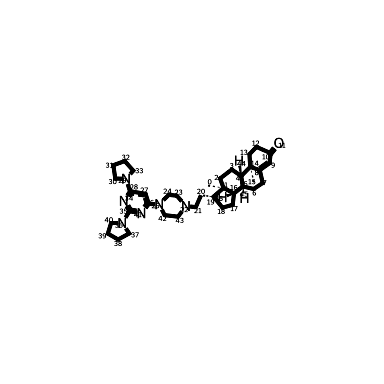 C[C@]12CC[C@H]3[C@@H](CCC4=CC(=O)CC[C@@]43C)[C@@H]1CC[C@@H]2CCN1CCN(c2cc(N3CCCC3)nc(N3CCCC3)n2)CC1